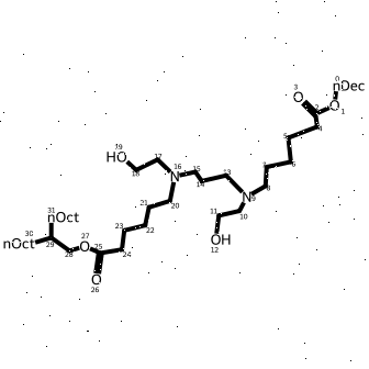 CCCCCCCCCCOC(=O)CCCCCN(CCO)CCCN(CCO)CCCCCC(=O)OCC(CCCCCCCC)CCCCCCCC